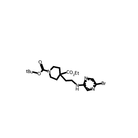 CCOC(=O)C1(CCNc2cnc(Br)cn2)CCN(C(=O)OC(C)(C)C)CC1